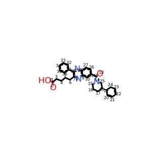 O=C(O)CCCCc1nc2cc(C(=O)N3CCC[C@H](C4C=CC=CC4)C3)ccc2nc1-c1ccccc1